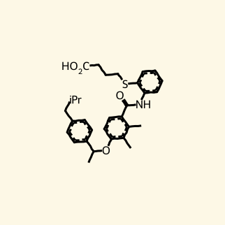 Cc1c(OC(C)c2ccc(CC(C)C)cc2)ccc(C(=O)Nc2ccccc2SCCCC(=O)O)c1C